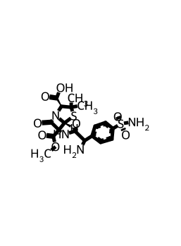 COC(=O)[C@]1(NC(=O)C(N)c2ccc(S(N)(=O)=O)cc2)C(=O)N2[C@@H](C(=O)O)C(C)(C)S[C@@H]21